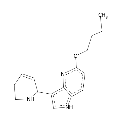 CCCCOc1ccc2[nH]cc(C3C=CCCN3)c2n1